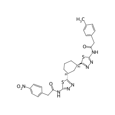 Cc1ccc(CC(=O)Nc2nnc([C@@H]3CCC[C@@H](c4nnc(NC(=O)Cc5ccc([N+](=O)[O-])cc5)s4)C3)s2)cc1